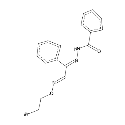 CC(C)CCON=CC(=NNC(=O)c1ccccc1)c1ccccc1